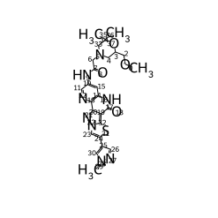 COCC1CN(CC(=O)Nc2cnc3c(c2)[nH]c(=O)c2c3nn3cc(-c4cnn(C)c4)sc23)CC(C)(C)O1